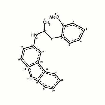 COc1ccccc1CC(C)Nc1ccc2oc3ccccc3c2c1